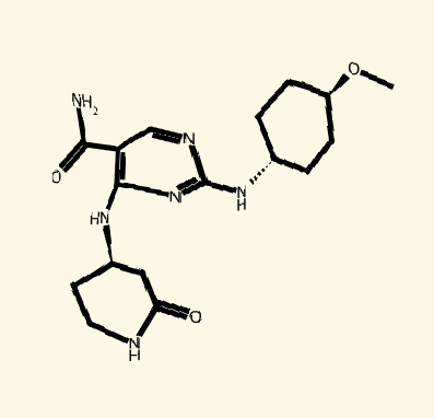 CO[C@H]1CC[C@H](Nc2ncc(C(N)=O)c(N[C@@H]3CCNC(=O)C3)n2)CC1